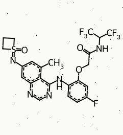 Cc1cc(N=S2(=O)CCC2)cc2ncnc(Nc3ccc(F)cc3OCC(=O)NC(C(F)(F)F)C(F)(F)F)c12